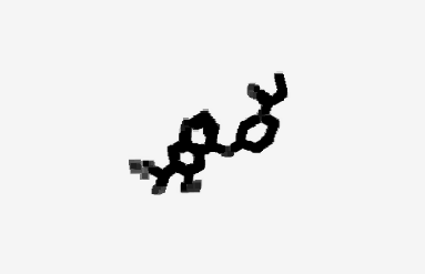 CCC(=O)N1CCCC(Oc2ccnc3cc(C(N)=O)c(O)cc23)C1